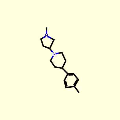 Cc1ccc(C2CCN(C3CCN(C)C3)CC2)cc1